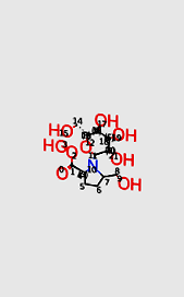 O=C(OO)[C@@H]1CCC(CO)N1C1O[C@H](CO)[C@@H](O)[C@H](O)[C@H]1O